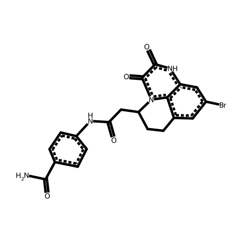 NC(=O)c1ccc(NC(=O)CC2CCc3cc(Br)cc4[nH]c(=O)c(=O)n2c34)cc1